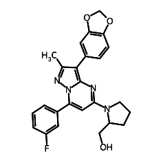 Cc1nn2c(-c3cccc(F)c3)cc(N3CCCC3CO)nc2c1-c1ccc2c(c1)OCO2